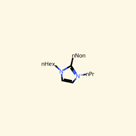 CCCCCCCCCc1n(CCCCCC)cc[n+]1CCC